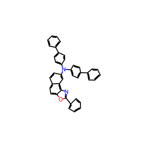 c1ccc(-c2ccc(N(c3ccc(-c4ccccc4)cc3)c3ccc4ccc5oc(-c6ccccc6)nc5c4c3)cc2)cc1